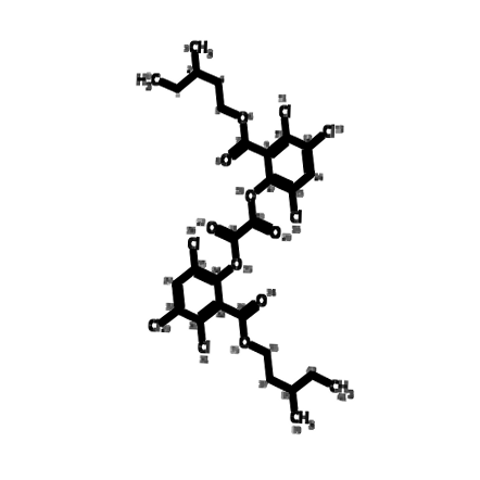 CCC(C)CCOC(=O)c1c(Cl)c(Cl)cc(Cl)c1OC(=O)C(=O)Oc1c(Cl)cc(Cl)c(Cl)c1C(=O)OCCC(C)CC